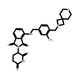 Cc1cc(CNc2cccc3c2C(=O)N(C2CCC(=O)NC2=O)C3=O)ccc1CN1CC2(CCOCC2)C1